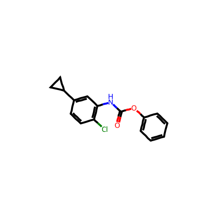 O=C(Nc1cc(C2CC2)ccc1Cl)Oc1ccccc1